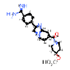 N=C(N)c1ccc(-c2cn3ccc(C(=O)N4CCC(OC(=O)O)CC4)cc3n2)cc1